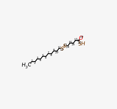 CCCCCCCCCCCCSSCCCCC(=O)S